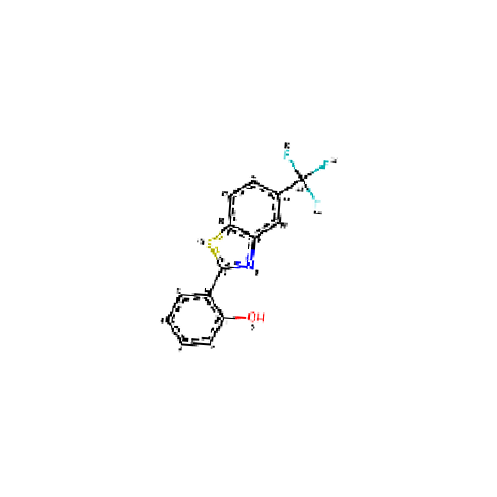 Oc1ccccc1-c1nc2cc(C(F)(F)F)ccc2s1